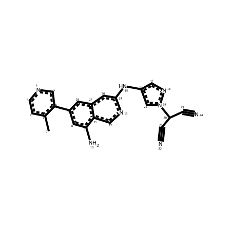 Cc1ccncc1-c1cc(N)c2cnc(Nc3cnn(C(C#N)C#N)c3)cc2c1